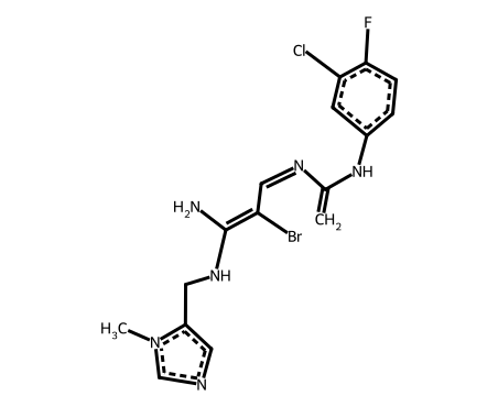 C=C(/N=C\C(Br)=C(/N)NCc1cncn1C)Nc1ccc(F)c(Cl)c1